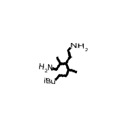 CCC(C)CCC(C)C(CCN)C(C)CN